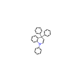 C1=CC(c2ccccc2)(c2ccccc2)c2ccccc2N1c1ccccc1